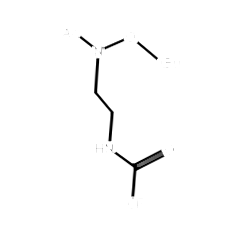 CC(=O)N(CCNC(=O)C(F)(F)F)OC(C)(C)C